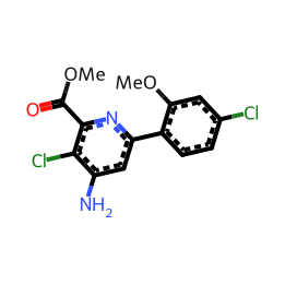 COC(=O)c1nc(-c2ccc(Cl)cc2OC)cc(N)c1Cl